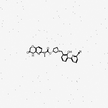 CN(C(=O)O[C@@H]1CCN(Cc2cccc(-c3cccc(C#N)n3)c2O)C1)c1ccc2c(n1)NC(=O)CO2